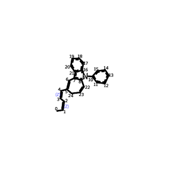 C/C=C\C=C/C1=Cc2c(n(-c3ccccc3)c3ccccc23)C=CC1